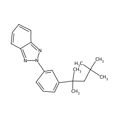 CC(C)(C)CC(C)(C)c1cccc(-n2nc3ccccc3n2)c1